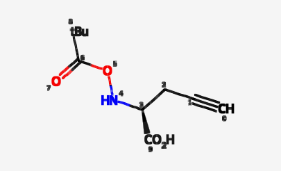 C#CC[C@H](NOC(=O)C(C)(C)C)C(=O)O